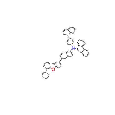 c1ccc(-c2cccc3c2oc2ccc(-c4ccc5cc(N(c6ccc(-c7cccc8ccccc78)cc6)c6cc7ccccc7c7ccccc67)ccc5c4)cc23)cc1